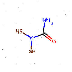 NC(=O)N(S)S